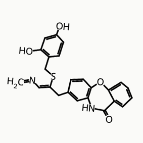 C=N/C=C(/Cc1ccc2c(c1)NC(=O)c1ccccc1O2)SCc1ccc(O)cc1O